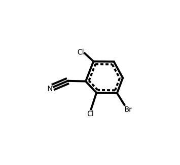 N#Cc1c(Cl)ccc(Br)c1Cl